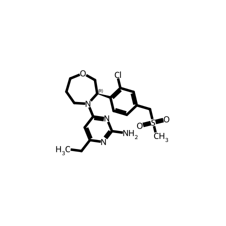 CCc1cc(N2CCCOC[C@H]2c2ccc(CS(C)(=O)=O)cc2Cl)nc(N)n1